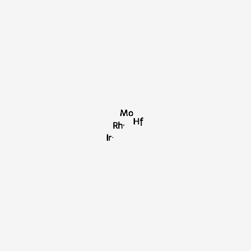 [Hf].[Ir].[Mo].[Rh]